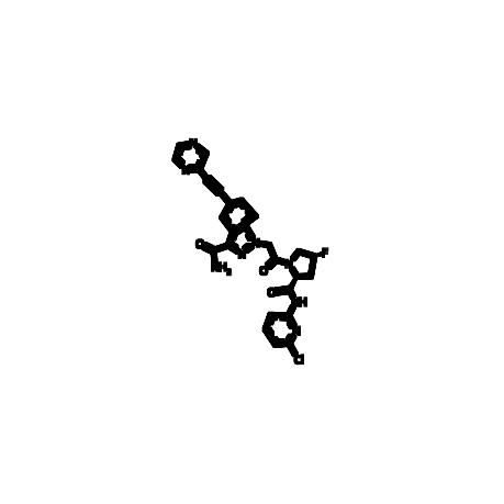 NC(=O)c1nn(CC(=O)N2C[C@H](F)C[C@H]2C(=O)Nc2cccc(Cl)n2)c2ccc(C#Cc3cnccn3)cc12